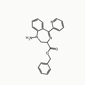 NN1CC(C(=O)OCc2ccccc2)N=C(c2ccccn2)c2ccccc21